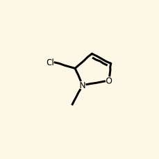 CN1OC=CC1Cl